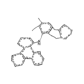 Cc1cc2c(c(Nc3cccc4c5ccccc5c5ccccc5c34)c1C)Cc1ccccc1-2